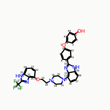 Oc1ccc(Oc2ccc(-c3nc4c(N5CCN(CCOc6cccc7[nH]c(C(F)(F)F)nc67)CC5)cccc4[nH]3)cc2)cc1